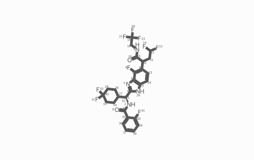 O=C(N[C@H](c1nc2c(F)c(C(CC(F)F)C(=O)NCC(F)(F)F)ccc2[nH]1)C1CCC(F)(F)CC1)c1ccccc1F